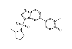 Cc1cc(-c2ccc3ncc(S(=O)(=O)N4CCCC4C)n3c2)cn(C)c1=O